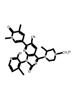 Cc1ccnc(C(C)C)c1-n1c(=O)nc(N2CCN(C(=O)O)CC2C)c2cc(C#N)c(-c3cc(C)c(=O)n(C)c3)nc21